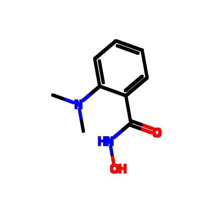 CN(C)c1ccccc1C(=O)NO